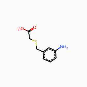 Nc1cccc(CSCC(=O)O)c1